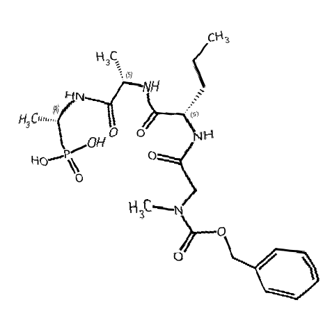 CCC[C@H](NC(=O)CN(C)C(=O)OCc1ccccc1)C(=O)N[C@@H](C)C(=O)N[C@@H](C)P(=O)(O)O